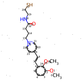 COc1cccc(/C=C/c2cc[n+](CCCC(=O)NCCS)cc2)c1OC